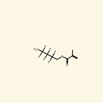 C=C(C)C(=O)SCC(F)(F)C(F)(F)C(F)(F)C(F)(F)F